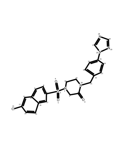 O=C1CN(S(=O)(=O)c2ccc3cc(Cl)ccc3c2)CCN1Cc1ccc(-n2cncn2)cc1